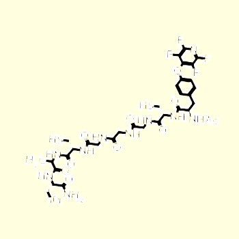 CC(=O)N[C@H](Cc1ccc(Oc2c(F)c(F)nc(F)c2F)cc1)C(=O)N[C@@H](CS)C(=O)NCC(=O)NCC(=O)NCC(=O)N[C@@H](CS)C(=O)NC(C)C(=O)N[C@@H](CC(C)C)C(N)=O